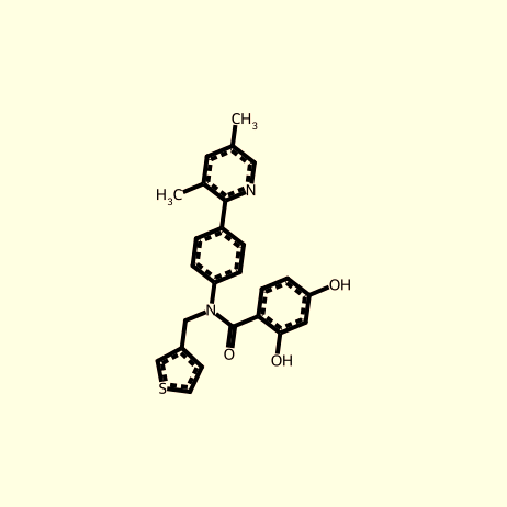 Cc1cnc(-c2ccc(N(Cc3ccsc3)C(=O)c3ccc(O)cc3O)cc2)c(C)c1